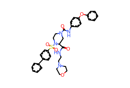 O=C(NCCN1CCOCC1)C1CN(C(=O)Nc2ccc(Oc3ccccc3)cc2)CCN1S(=O)(=O)c1ccc(-c2ccccc2)cc1